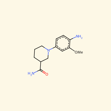 COc1cc(N2CCCC(C(N)=O)C2)ccc1N